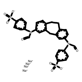 O=CN(c1ccc(P(=O)([O-])[O-])cc1)c1ccc2c(c1)Cc1cc(N(C=O)c3ccc(P(=O)([O-])[O-])cc3)ccc1CC2.[Na+].[Na+].[Na+].[Na+]